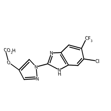 O=C(O)Oc1cnn(-c2nc3cc(C(F)(F)F)c(Cl)cc3[nH]2)c1